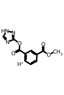 COC(=O)c1cccc(C(=O)Oc2nc[nH]n2)c1.[H+]